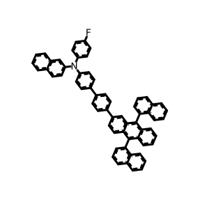 Fc1ccc(N(c2ccc(-c3ccc(-c4ccc5c(-c6cccc7ccccc67)c6ccccc6c(-c6cccc7ccccc67)c5c4)cc3)cc2)c2ccc3ccccc3c2)cc1